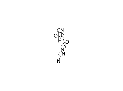 N#Cc1ccc(N2CCN(C(=O)CCc3nc4ncccc4c(=O)[nH]3)CC2)nc1